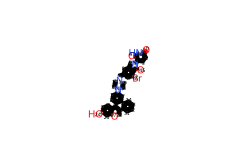 O=C1CCC(N2Cc3cc(CN4CCN(c5ccc([C@@H]6c7ccc(O)cc7OC[C@@H]6c6ccccc6)cc5)CC4)cc(Br)c3C2=O)C(=O)N1